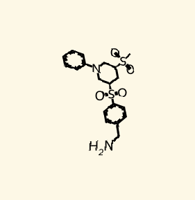 CS(=O)(=O)[C@H]1C[C@@H](S(=O)(=O)c2ccc(CN)cc2)CN(c2ccccc2)C1